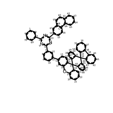 c1ccc(-c2nc(-c3cccc(-c4ccc5c(c4)Oc4ccccc4C54c5ccccc5C5(c6ccccc6-c6ccccc65)c5ccccc54)c3)nc(-c3ccc4c(ccc5ccccc54)c3)n2)cc1